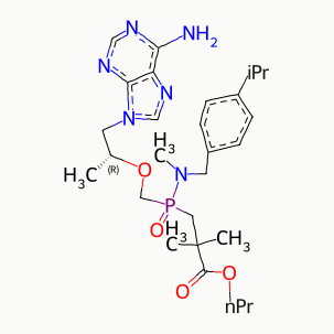 CCCOC(=O)C(C)(C)CP(=O)(CO[C@H](C)Cn1cnc2c(N)ncnc21)N(C)Cc1ccc(C(C)C)cc1